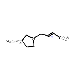 CO[C@H]1CCN(C/C=C/C(=O)O)C1